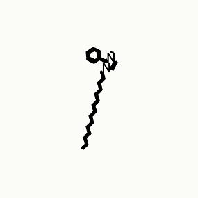 CCCCCCCCCCCCCCCN1C=CN(C)C1c1ccccc1